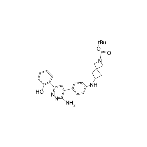 CC(C)(C)OC(=O)N1CC2(CC(Nc3ccc(-c4cc(-c5ccccc5O)nnc4N)cc3)C2)C1